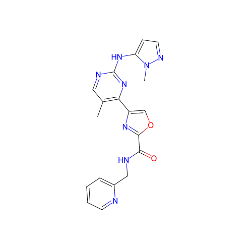 Cc1cnc(Nc2ccnn2C)nc1-c1coc(C(=O)NCc2ccccn2)n1